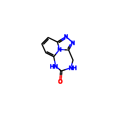 O=C1NCc2nnc3cccc(n23)N1